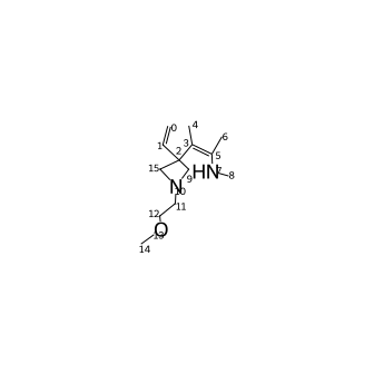 C=CC1(/C(C)=C(/C)NC)CN(CCOC)C1